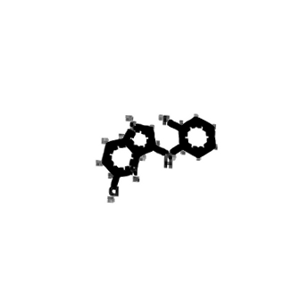 Fc1ccccc1Nc1csc2ccc(Cl)nc12